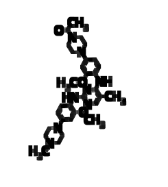 COc1cc(N2CCN(C)CC2)ccc1Nc1ncc(C)c(Nc2ccc(N3CCN(C(C)=O)CC3)cc2OC)n1